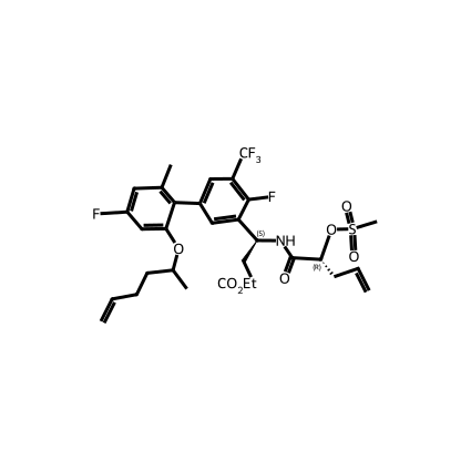 C=CCCC(C)Oc1cc(F)cc(C)c1-c1cc([C@H](CC(=O)OCC)NC(=O)[C@@H](CC=C)OS(C)(=O)=O)c(F)c(C(F)(F)F)c1